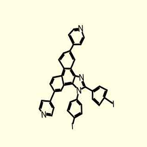 Ic1ccc(-c2nc3c4cc(-c5ccncc5)ccc4c4ccc(-c5ccncc5)cc4c3n2-c2ccc(I)cc2)cc1